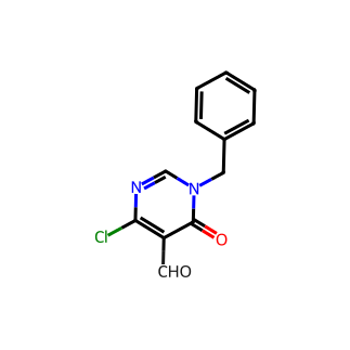 O=Cc1c(Cl)ncn(Cc2ccccc2)c1=O